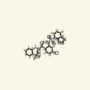 O=C(NCc1ccccc1C(F)(F)F)c1ccc(Cl)cc1NS(=O)(=O)c1cccc2nsnc12